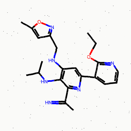 CCOc1ncccc1-c1cc(NCc2cc(C)on2)c(NC(C)C)c(C(C)=N)n1